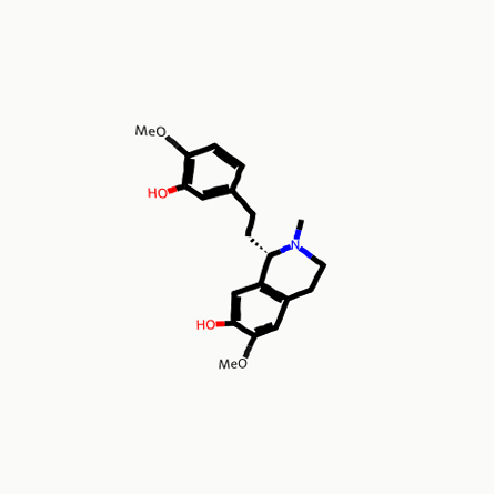 COc1ccc(CC[C@H]2c3cc(O)c(OC)cc3CCN2C)cc1O